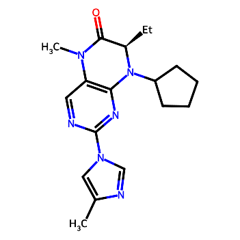 CC[C@@H]1C(=O)N(C)c2cnc(-n3cnc(C)c3)nc2N1C1CCCC1